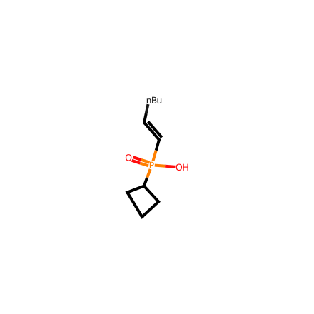 CCCCC=CP(=O)(O)C1CCC1